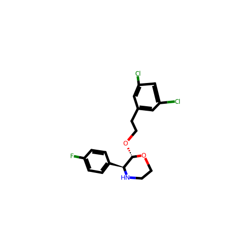 Fc1ccc([C@@H]2NCCO[C@H]2OCCc2cc(Cl)cc(Cl)c2)cc1